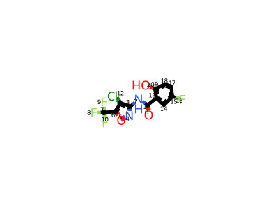 O=C(Nc1noc(C(F)(F)F)c1Cl)c1cc(F)ccc1O